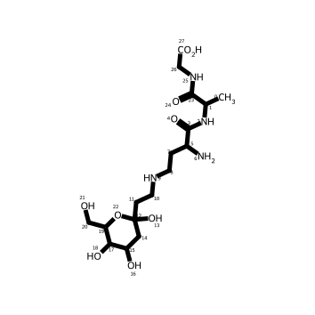 CC(NC(=O)C(N)CCNCCC1(O)CC(O)C(O)C(CO)O1)C(=O)NCC(=O)O